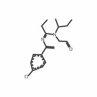 C=C(/N=C(/CC)N(CC=O)C(C)CC)c1ccc(Cl)cc1